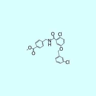 COC(=O)c1ccc(CNC(=O)c2cc(OCc3cccc(Cl)c3)ccc2Cl)cc1